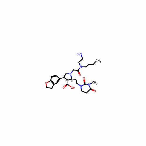 CCCCN(CCN)C(=O)CN1C[C@H](c2ccc3c(c2)CCO3)[C@@H](C(=O)O)[C@@H]1CCN1CCC(=O)N(C)C1=O